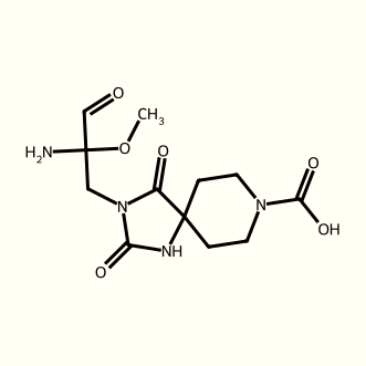 COC(N)(C=O)CN1C(=O)NC2(CCN(C(=O)O)CC2)C1=O